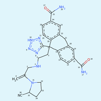 C=C(CNCCC1(c2nn[nH]n2)c2ccc(C(N)=O)cc2Cc2cc(C(N)=O)ccc21)N1CCCC1C#N